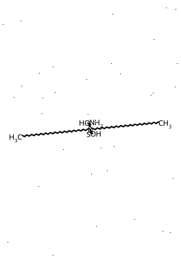 CCCCCCCCCCCCCCCCCCCCCCCCCCCCCCN(CCCCCCCCCCCCCCCCCCCCCCCCCCCCCC)C(O)=S.NC(O)=S